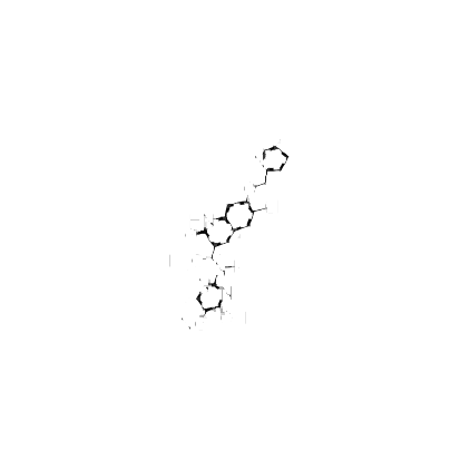 C[C@@H](c1cc2cc(Cl)c(OCc3ccccn3)cc2[nH]c1=O)N(I)c1ncc(C#N)c(O)n1